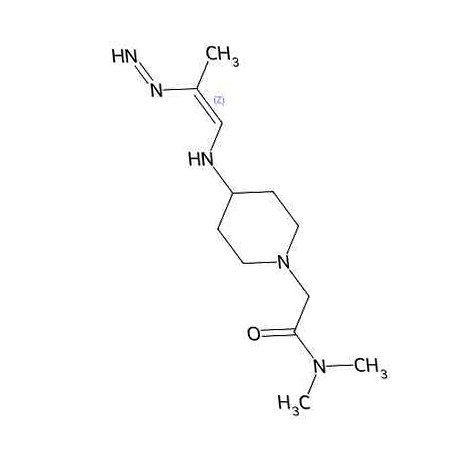 C/C(=C/NC1CCN(CC(=O)N(C)C)CC1)N=N